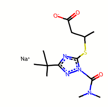 CC(CC(=O)[O-])Sc1nc(C(C)(C)C)nn1C(=O)N(C)C.[Na+]